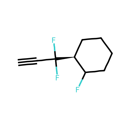 C#CC(F)(F)[C@H]1CCCCC1F